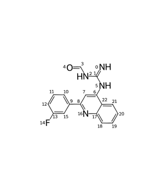 N=C(NC=O)Nc1cc(-c2cccc(F)c2)nc2ccccc12